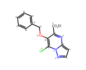 CCOC(=O)c1nc2ccnn2c(Cl)c1OCc1ccccc1